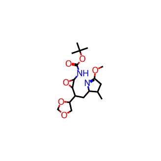 COC1=NC(CC(C2COCO2)C2OC2NC(=O)OC(C)(C)C)C(C)C1